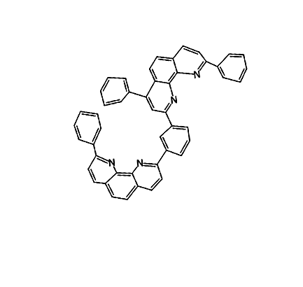 c1ccc(-c2ccc3ccc4ccc(-c5cccc(-c6cc(-c7ccccc7)c7ccc8ccc(-c9ccccc9)nc8c7n6)c5)nc4c3n2)cc1